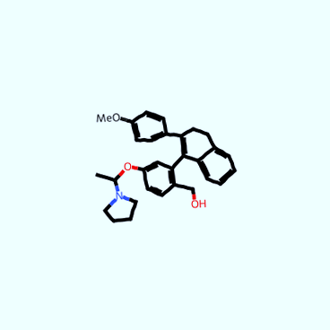 COc1ccc(C2=C(c3cc(OC(C)N4CCCC4)ccc3CO)c3ccccc3CC2)cc1